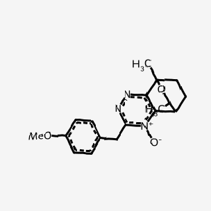 COc1ccc(Cc2nnc3c([n+]2[O-])C2CCC3(C)OC2C)cc1